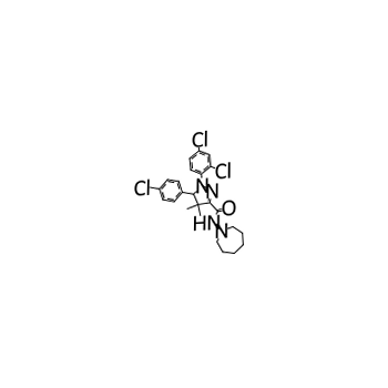 CC1(C)C(C(=O)NN2CCCCCC2)=NN(c2ccc(Cl)cc2Cl)C1c1ccc(Cl)cc1